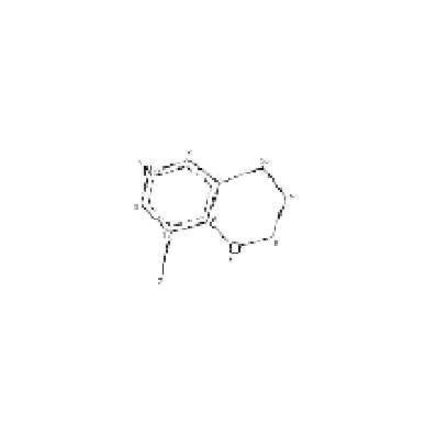 Ic1cncc2c1OCCC2